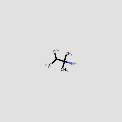 CCCC(C)C(C)(C)[NH]